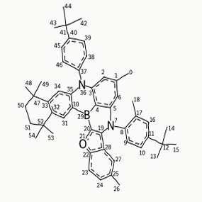 Cc1cc2c3c(c1)N(c1ccc(C(C)(C)C)cc1C)c1c(oc4ccc(C)cc14)B3c1cc3c(cc1N2c1ccc(C(C)(C)C)cc1)C(C)(C)CCC3(C)C